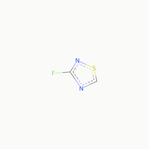 Fc1ncsn1